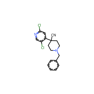 N#CC1(c2cc(Cl)ncc2Cl)CCN(Cc2ccccc2)CC1